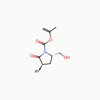 C=C(C)OC(=O)N1C(=O)[C@H](C(C)C)C[C@H]1CO